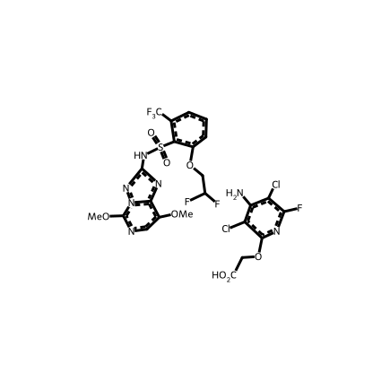 COc1cnc(OC)n2nc(NS(=O)(=O)c3c(OCC(F)F)cccc3C(F)(F)F)nc12.Nc1c(Cl)c(F)nc(OCC(=O)O)c1Cl